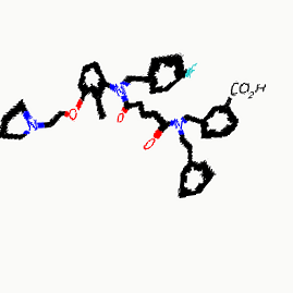 Cc1c(OCCN2CCCC2)cccc1N(Cc1ccc(F)cc1)C(=O)CCCC(=O)N(CCc1ccccc1)Cc1cccc(C(=O)O)c1